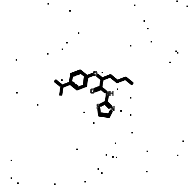 CCCCC(Oc1ccc(C(C)C)cc1)C(=O)Nc1nccs1